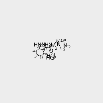 CN1CC2CC(NC(=O)c3n[nH]c4ccccc34)CC(C1)N2C.Cl.Cl